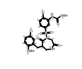 COC(=O)Nc1cc(S(=O)(=O)N2CC(=O)NCC(Cc3cc(Cl)ccc3OC)C2=O)ccc1Cl